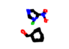 O=Cc1ccccc1.O=[N+]([O-])c1cncn1Cl